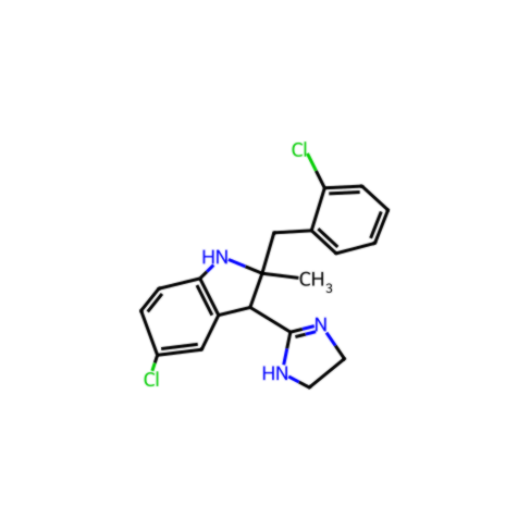 CC1(Cc2ccccc2Cl)Nc2ccc(Cl)cc2C1C1=NCCN1